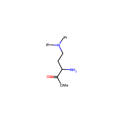 COC(=O)C(N)CCN(C(C)C)C(C)C